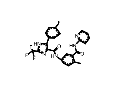 Cc1ccc(NC(=O)c2nc(C(F)(F)F)[nH]c2-c2ccc(F)cc2)cc1C(=O)Nc1ccccn1